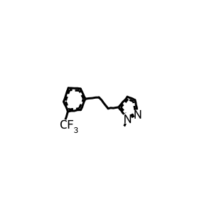 Cn1nccc1CCc1cccc(C(F)(F)F)c1